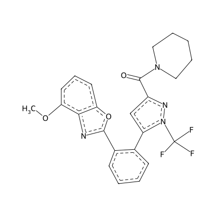 COc1cccc2oc(-c3ccccc3-c3cc(C(=O)N4CCCCC4)nn3C(F)(F)F)nc12